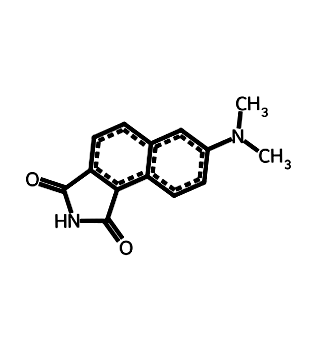 CN(C)c1ccc2c3c(ccc2c1)C(=O)NC3=O